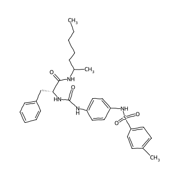 CCCCCC(C)NC(=O)[C@@H](Cc1ccccc1)NC(=O)Nc1ccc(NS(=O)(=O)c2ccc(C)cc2)cc1